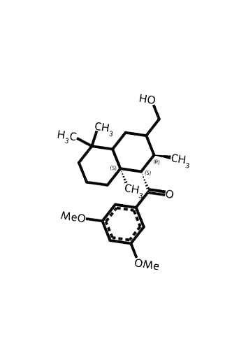 COc1cc(OC)cc(C(=O)[C@H]2[C@H](C)C(CO)CC3C(C)(C)CCC[C@@]32C)c1